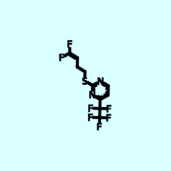 FC(F)=CCCSc1nccc(C(F)(F)C(F)(F)F)n1